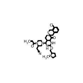 C=CC(=O)N1CCN(C2NC(OCC3CCCN3C)NC3C(=O)[C@@]4(CCC32)Cc2cccc(Cl)c2CS4)CC1CC#N